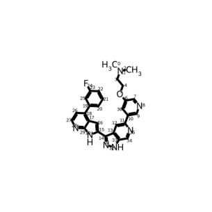 CN(C)CCOc1cncc(-c2cc3c(-c4cc5c(-c6cccc(F)c6)ccnc5[nH]4)n[nH]c3cn2)c1